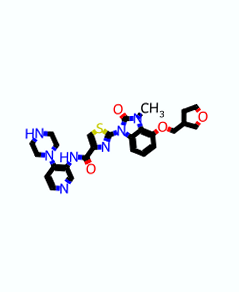 Cn1c(=O)n(-c2nc(C(=O)Nc3cnccc3N3CCNCC3)cs2)c2cccc(OCC3CCOC3)c21